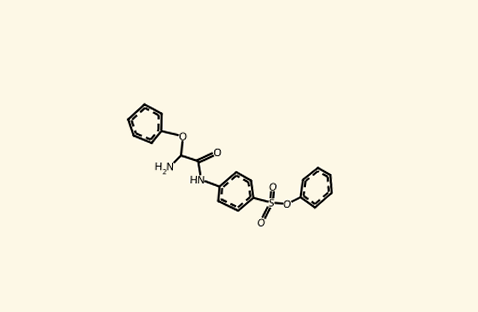 NC(Oc1ccccc1)C(=O)Nc1ccc(S(=O)(=O)Oc2ccccc2)cc1